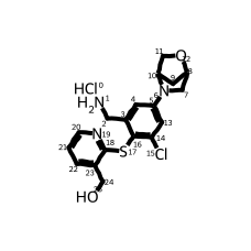 Cl.NCc1cc(N2CC3CC2CO3)cc(Cl)c1Sc1ncccc1CO